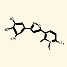 Cc1c(-c2cc(-c3cc(O)c(O)c([N+](=O)[O-])c3)no2)ccc(C(F)(F)F)[n+]1[O-]